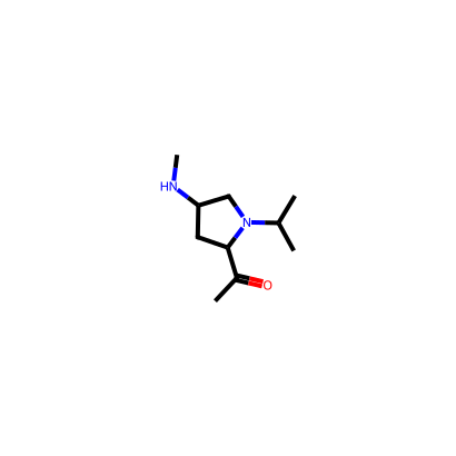 CNC1CC(C(C)=O)N(C(C)C)C1